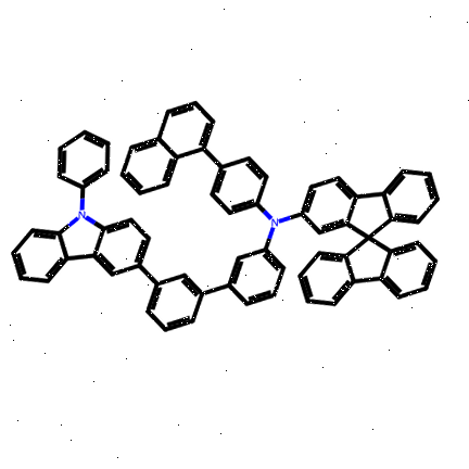 c1ccc(-n2c3ccccc3c3cc(-c4cccc(-c5cccc(N(c6ccc(-c7cccc8ccccc78)cc6)c6ccc7c(c6)C6(c8ccccc8-c8ccccc86)c6ccccc6-7)c5)c4)ccc32)cc1